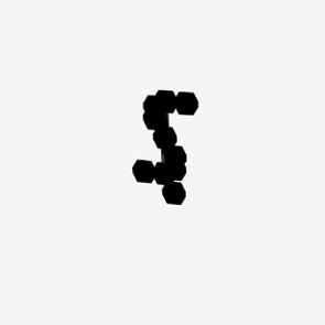 c1ccc(-c2ccc3ccc4ccc(-c5ccc(-c6ccc7ccc8c(-c9ccccc9)cc(-c9ccccc9)cc8c7n6)cc5)nc4c3c2)cc1